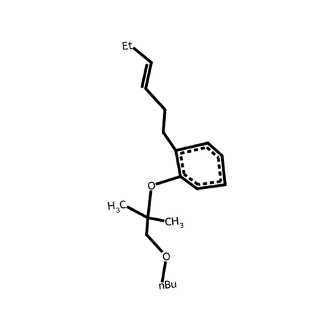 [CH2]CC=CCCc1ccccc1OC(C)(C)COCCCC